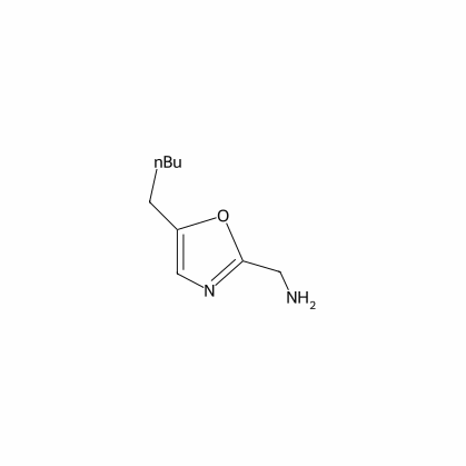 CCCCCc1cnc(CN)o1